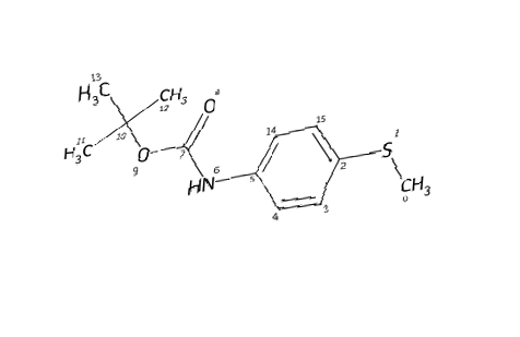 CSc1ccc(NC(=O)OC(C)(C)C)cc1